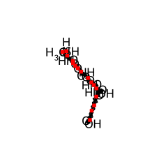 C[C@H](CCCCNC(=O)COCCOCCNC(=O)COCCOCCNC(=O)CC[C@H](NC(=O)CCCCCCCCCCCCCCC(=O)O)C(=O)O)NS